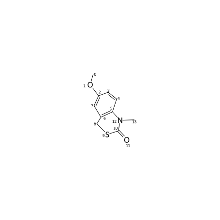 COc1ccc2c(c1)CSC(=O)N2C